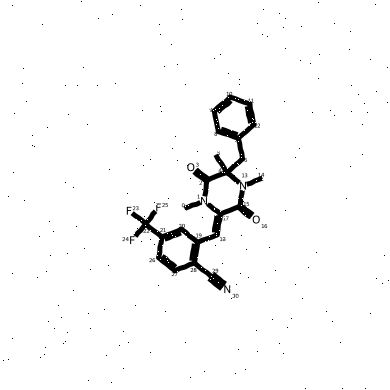 CN1C(=O)C(C)(Cc2ccccc2)N(C)C(=O)/C1=C/c1cc(C(F)(F)F)ccc1C#N